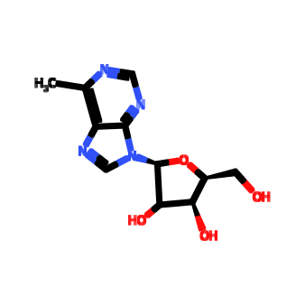 Cc1ncnc2c1ncn2[C@H]1O[C@@H](CO)[C@@H](O)C1O